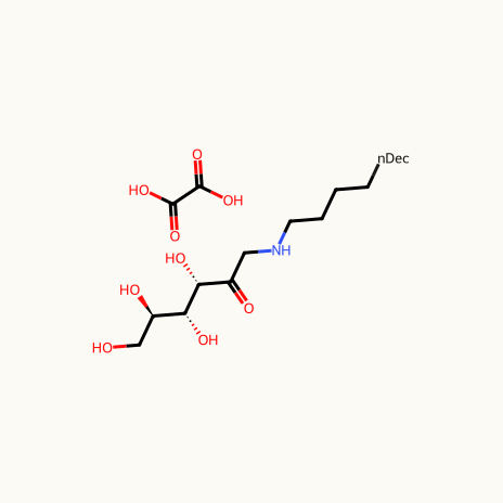 CCCCCCCCCCCCCCNCC(=O)[C@@H](O)[C@H](O)[C@H](O)CO.O=C(O)C(=O)O